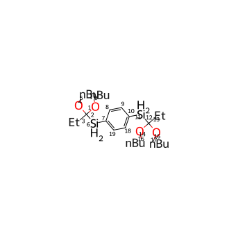 CCCCOC(CC)(OCCCC)[SiH2]c1ccc([SiH2]C(CC)(OCCCC)OCCCC)cc1